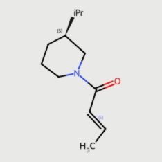 C/C=C/C(=O)N1CCC[C@@H](C(C)C)C1